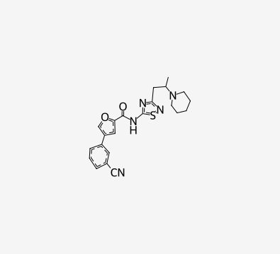 CC(Cc1nsc(NC(=O)c2cc(-c3cccc(C#N)c3)co2)n1)N1CCCCC1